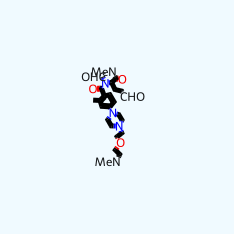 CNCCOCCN1CCN(c2ccc(C(=O)N(C=O)C(CCC=O)C(=O)NC)c(C)c2)CC1